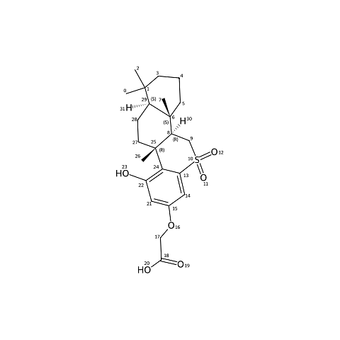 CC1(C)CCC[C@]2(C)[C@H]3CS(=O)(=O)c4cc(OCC(=O)O)cc(O)c4[C@]3(C)CC[C@@H]12